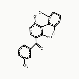 Nc1c(C(=O)c2cccc(C(F)(F)F)c2)cc[n+]([O-])c1-c1c(Cl)cccc1Cl